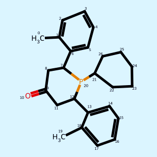 Cc1ccccc1C1CC(=O)CC(c2ccccc2C)P1C1CCCCC1